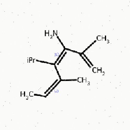 C=C(C)/C(N)=C(\C(C)=C/C)C(C)C